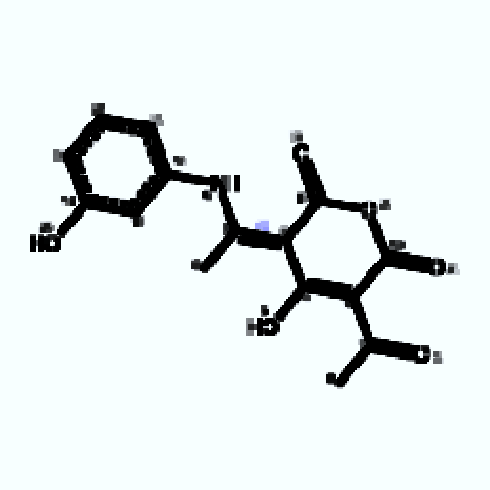 CC(=O)C1=C(O)/C(=C(\C)Nc2cccc(O)c2)C(=O)OC1=O